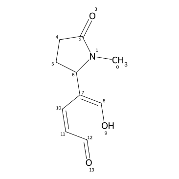 CN1C(=O)CCC1C(=CO)/C=C\C=O